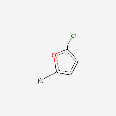 [CH2]Cc1ccc(Cl)o1